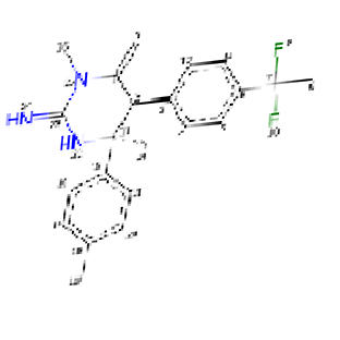 C=C1[C@@H](c2ccc(C(C)(F)F)cc2)[C@@](C)(c2ccc(C)cc2)NC(=N)N1C